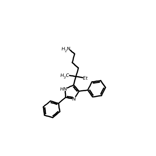 CCC(C)(CCCN)c1[nH]c(-c2ccccc2)nc1-c1ccccc1